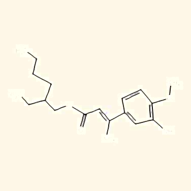 CCCCC(CC)COC(=O)/C=C(\C)c1ccc(OC)c(O)c1